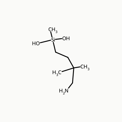 CC(C)(CN)CC[Si](C)(O)O